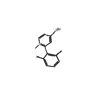 Cc1cccc(I)c1-c1cc(C(C)(C)C)cc[n+]1C